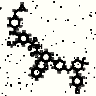 CC1(C)CCC(CN2CCN(c3ccc(C(=O)NS(=O)(=O)c4ccc(NC5CCN(CC6CC6)CC5)c([N+](=O)[O-])c4)c(Oc4ccccc4Cl)c3)CC2)=C(c2ccc(Cl)cc2)C1